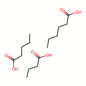 CCCC(=O)O.CCCCC(=O)O.CCCCCC(=O)O